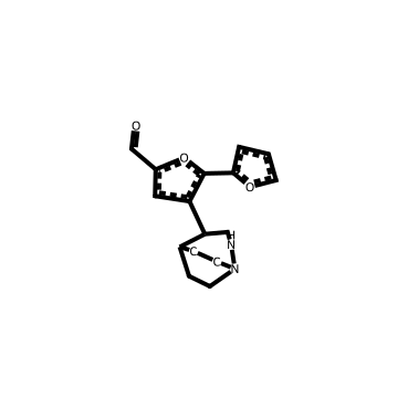 O=Cc1cc(C2CNN3CCC2CC3)c(-c2ccco2)o1